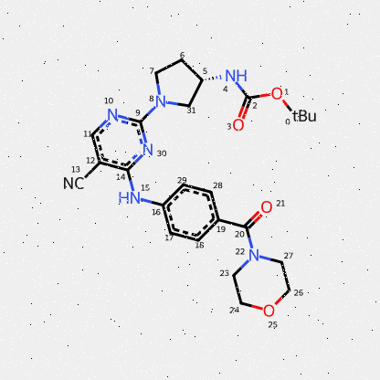 CC(C)(C)OC(=O)N[C@H]1CCN(c2ncc(C#N)c(Nc3ccc(C(=O)N4CCOCC4)cc3)n2)C1